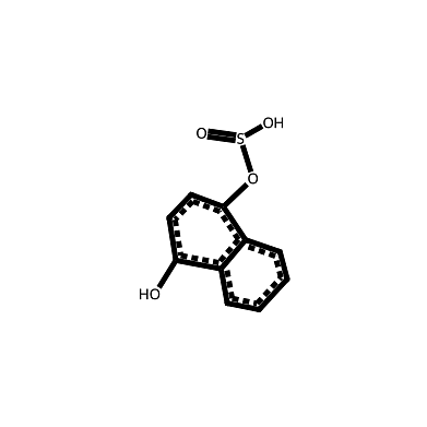 O=S(O)Oc1ccc(O)c2ccccc12